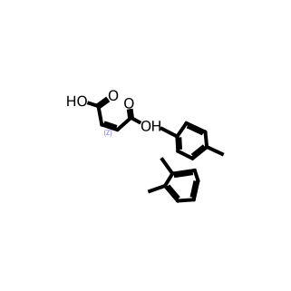 Cc1ccc(C)cc1.Cc1ccccc1C.O=C(O)/C=C\C(=O)O